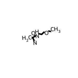 C=C(C#N)C(=O)NCCCOCCC